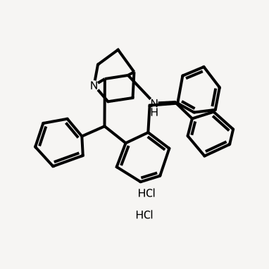 Cl.Cl.c1ccc(CNC2C3CCN(CC3)C2C(c2ccccc2)c2ccccc2Cc2ccccc2)cc1